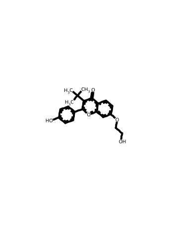 CC(C)(C)c1c(-c2ccc(O)cc2)oc2cc(OCCO)ccc2c1=O